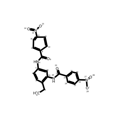 CCc1ccc(NC(=O)c2ccc([N+](=O)[O-])cc2)cc1NC(=O)c1ccc([N+](=O)[O-])cc1